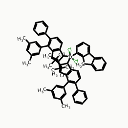 Cc1cc(C)cc(-c2c(-c3ccccc3)ccc3c2C=C(C(C)(C)C)[CH]3[Zr]([Cl])([Cl])([c]2cccc3c2[SiH2]c2ccccc2-3)[CH]2C(C(C)(C)C)=Cc3c2ccc(-c2ccccc2)c3-c2cc(C)cc(C)c2)c1